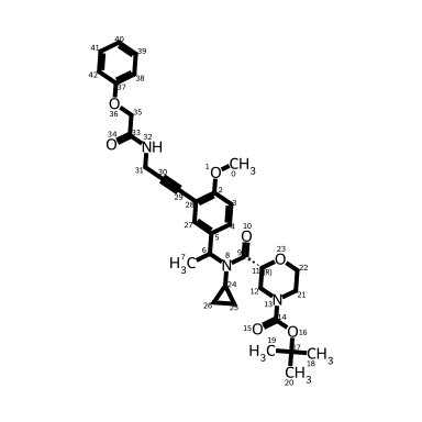 COc1ccc(C(C)N(C(=O)[C@H]2CN(C(=O)OC(C)(C)C)CCO2)C2CC2)cc1C#CCNC(=O)COc1ccccc1